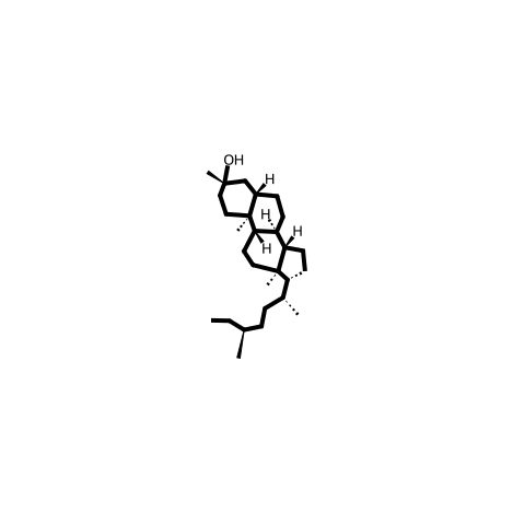 CC[C@H](C)CC[C@@H](C)[C@H]1CC[C@H]2[C@@H]3CC[C@H]4C[C@@](C)(O)CC[C@]4(C)[C@H]3CC[C@]12C